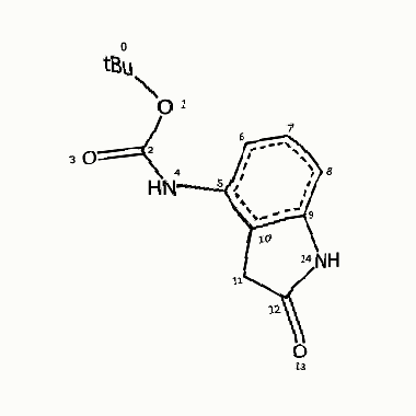 CC(C)(C)OC(=O)Nc1cccc2c1CC(=O)N2